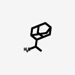 BC(C)C1C2CC3CC(C2)CC1C3